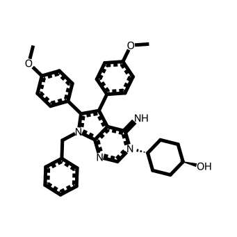 COc1ccc(-c2c(-c3ccc(OC)cc3)n(Cc3ccccc3)c3ncn([C@H]4CC[C@H](O)CC4)c(=N)c23)cc1